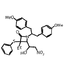 CCC1(Sc2ccccc2)C(=O)N(C(Cc2ccc(OC)cc2)Cc2ccc(OC)cc2)C1C(O)C[N+](=O)[O-]